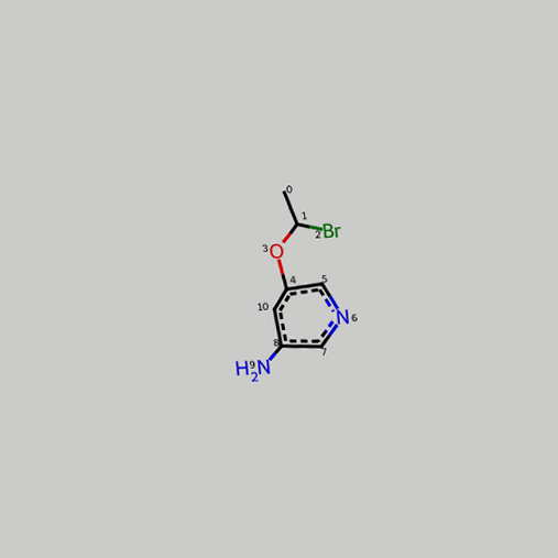 CC(Br)Oc1cncc(N)c1